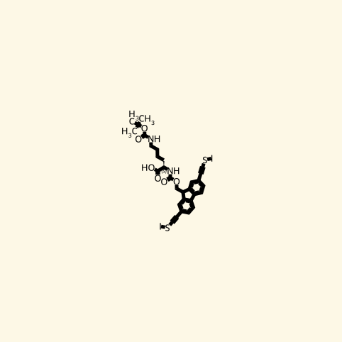 CC(C)(C)OC(=O)NCCCC[C@H](NC(=O)OCC1c2cc(C#CSI)ccc2-c2ccc(C#CSI)cc21)C(=O)O